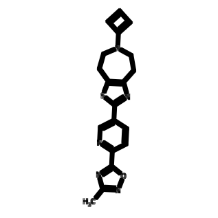 Cc1noc(-c2ccc(-c3nc4c(s3)CCN(C3=CC=C3)CC4)cn2)n1